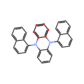 c1ccc(N(c2ccccc2N(c2ccccc2)c2cccc3ccccc23)c2cccc3ccccc23)cc1